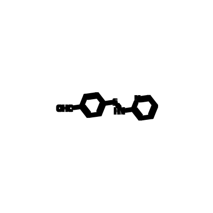 O=Cc1ccc(SNc2ccccn2)cc1